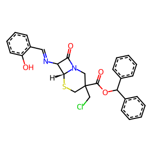 O=C1C(N=Cc2ccccc2O)[C@H]2SCC(CCl)(C(=O)OC(c3ccccc3)c3ccccc3)CN12